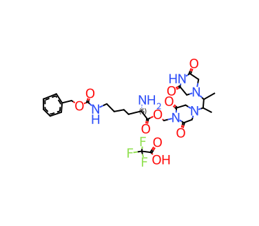 CC(C(C)N1CC(=O)N(COC(=O)[C@@H](N)CCCCNC(=O)OCc2ccccc2)C(=O)C1)N1CC(=O)NC(=O)C1.O=C(O)C(F)(F)F